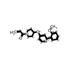 C=CC(=O)N1CCC(Oc2ccnc(-c3ccccc3OC)c2)CC1